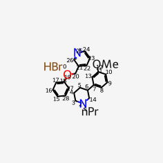 Br.CCCN1CCCC(c2cccc(OC)c2)C1.c1ccc(OCc2cccnc2)cc1